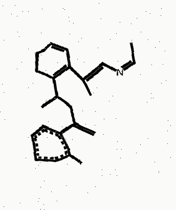 C=C(CC(C)C1=C(/C(C)=C/N=C\C)C=CCC1)c1ccccc1C